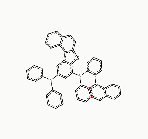 c1ccc(N(c2ccccc2)c2cc(N(c3ccccc3)c3ccccc3-c3cccc4ccccc34)c3sc4ccc5ccccc5c4c3c2)cc1